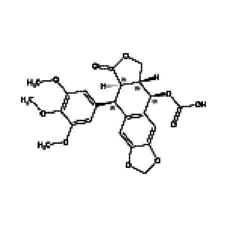 COc1cc([C@@H]2c3cc4c(cc3[C@H](OC(=O)O)[C@H]3COC(=O)[C@H]23)OCO4)cc(OC)c1OC